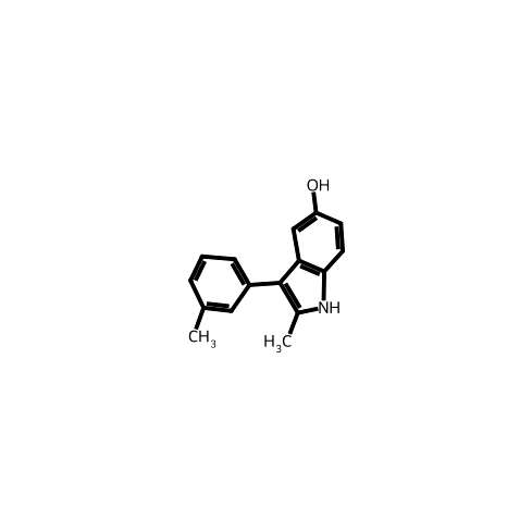 Cc1cccc(-c2c(C)[nH]c3ccc(O)cc23)c1